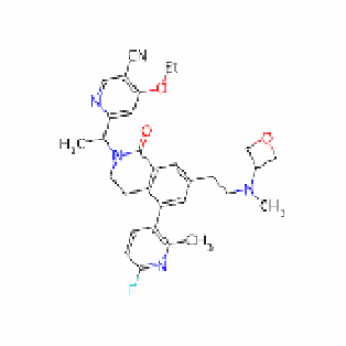 CCOc1cc(C(C)N2CCc3c(cc(CCN(C)C4COC4)cc3-c3ccc(F)nc3C)C2=O)ncc1C#N